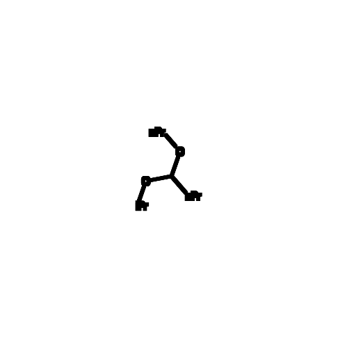 CCCOC(CCC)OC(C)C